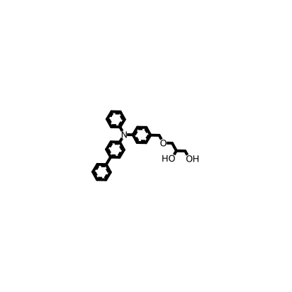 OCC(O)COCc1ccc(N(c2ccccc2)c2ccc(-c3ccccc3)cc2)cc1